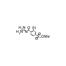 CCc1cc(S(=O)(=O)COC)ccc1C(=O)N=C(N)N